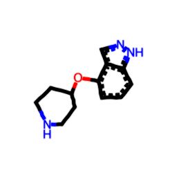 c1cc(OC2CCNCC2)c2cn[nH]c2c1